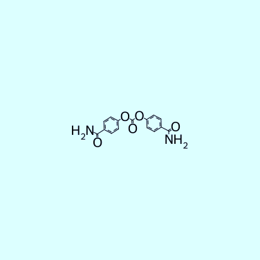 NC(=O)c1ccc(OC(=O)Oc2ccc(C(N)=O)cc2)cc1